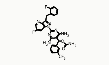 NC(=O)OC(c1cccc(C(F)(F)F)c1)c1c(N)nc(-n2nc(Cc3ccccc3F)c3ncc(F)cc32)nc1N